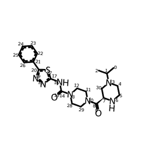 CC(C)N1CCN[C@@H](C(=O)N2CCN(C(=O)Nc3nnc(-c4ccccc4)s3)CC2)C1